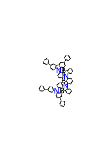 c1ccc(-c2ccc(N3c4ccc(-c5ccccc5)cc4B4c5ccccc5N5c6cccc7c6B(c6ccc3c4c65)c3ccc4c5c3N7c3ccccc3B5c3cc(-c5ccccc5)cc5c6cc(-c7ccccc7)ccc6n-4c35)cc2)cc1